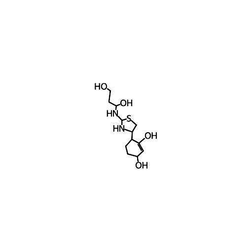 OCCC(O)NC1NC(C2CCC(O)C=C2O)CS1